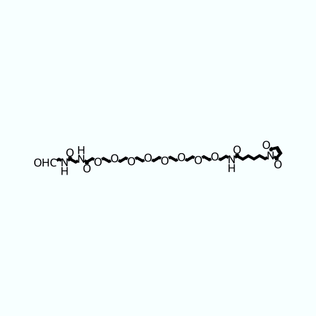 O=CCNC(=O)CNC(=O)COCCOCCOCCOCCOCCOCCOCCOCCNC(=O)CCCCCN1C(=O)C=CC1=O